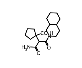 NC(=O)C(C(=O)N1CCC2CCCCC2C1)C1(C(=O)O)CCCC1